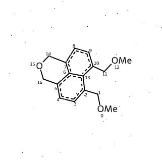 COCc1ccc2c3c(ccc(COC)c13)COC2